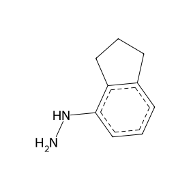 NNc1cccc2c1CCC2